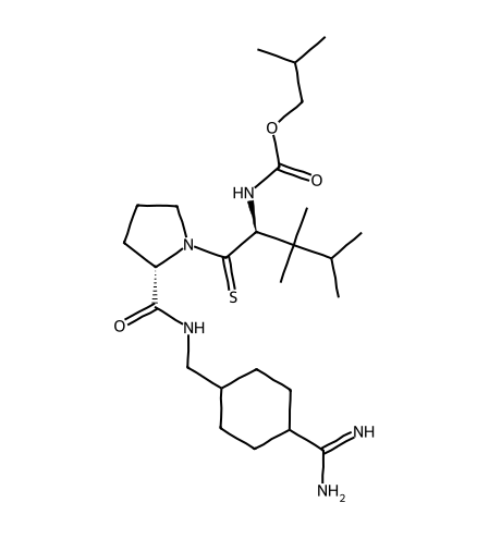 CC(C)COC(=O)N[C@H](C(=S)N1CCC[C@H]1C(=O)NCC1CCC(C(=N)N)CC1)C(C)(C)C(C)C